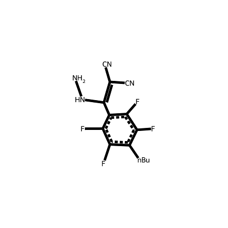 CCCCc1c(F)c(F)c(C(NN)=C(C#N)C#N)c(F)c1F